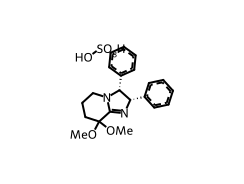 COC1(OC)CCCN2C1=N[C@@H](c1ccccc1)[C@H]2c1ccccc1.O=S(=O)(O)O